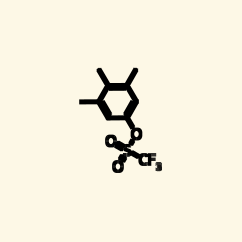 Cc1cc(OS(=O)(=O)C(F)(F)F)cc(C)c1C